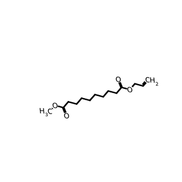 C=CCOC(=O)CCCCCCCCC(=O)OC